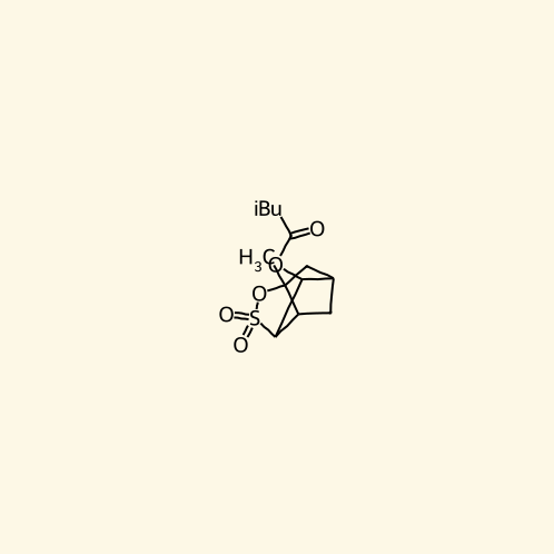 CCC(C)C(=O)OC1C2CC3C1S(=O)(=O)OC3(C)C2